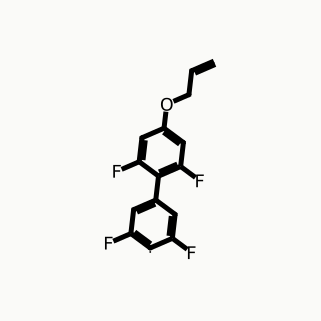 C=CCOc1cc(F)c(-c2cc(F)[c]c(F)c2)c(F)c1